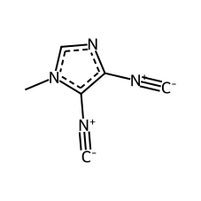 [C-]#[N+]c1ncn(C)c1[N+]#[C-]